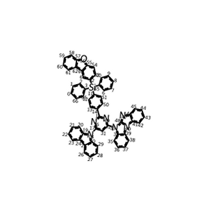 c1ccc([Si](c2ccccc2)(c2ccc(-c3nc(-n4c5ccccc5c5ccccc54)cc(-n4c5ccccc5n5c6ccccc6nc45)n3)cc2)c2ccc3oc4ccccc4c3c2)cc1